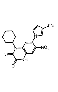 N#Cc1ccn(-c2cc3c(cc2[N+](=O)[O-])[nH]c(=O)c(=O)n3C2CCCCC2)c1